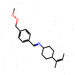 C/C=C(/C)C1CCC(/N=C/c2ccc(COOC)cc2)CC1